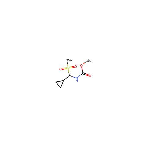 COS(=O)(=O)C(NC(=O)OC(C)(C)C)C1CC1